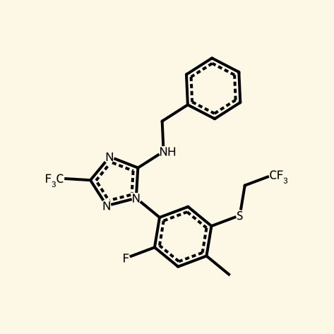 Cc1cc(F)c(-n2nc(C(F)(F)F)nc2NCc2ccccc2)cc1SCC(F)(F)F